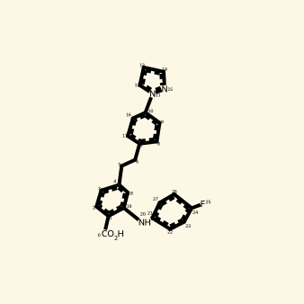 O=C(O)c1ccc(CCc2ccc(-n3cccn3)cc2)cc1Nc1ccc(F)cc1